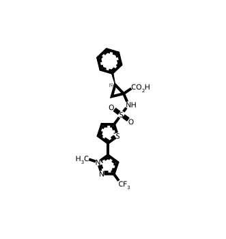 Cn1nc(C(F)(F)F)cc1-c1ccc(S(=O)(=O)NC2(C(=O)O)C[C@H]2c2ccccc2)s1